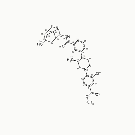 COC(=O)c1ccc(N2CCN(c3cccc(C(=O)NC4C5CC6CC4CC(O)(C6)C5)n3)[C@H](C)C2)c(Cl)c1